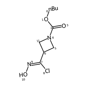 CCCCOC(=O)N1CC(C(Cl)=NO)C1